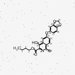 CCCCOC(=O)c1nc(Br)c2ccc(Oc3ccc4c(c3)OCO4)cc2c1O